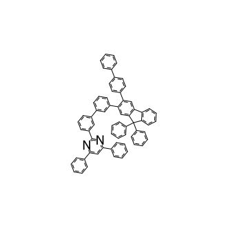 c1ccc(-c2ccc(-c3cc4c(cc3-c3cccc(-c5cccc(-c6nc(-c7ccccc7)cc(-c7ccccc7)n6)c5)c3)C(c3ccccc3)(c3ccccc3)c3ccccc3-4)cc2)cc1